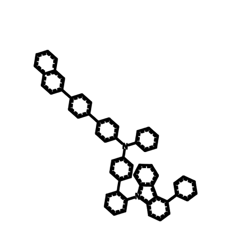 c1ccc(-c2cccc3c2c2ccccc2n3-c2ccccc2-c2ccc(N(c3ccccc3)c3ccc(-c4ccc(-c5ccc6ccccc6c5)cc4)cc3)cc2)cc1